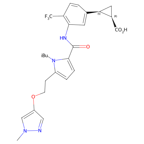 CCC(C)n1c(CCOc2cnn(C)c2)ccc1C(=O)Nc1cc([C@H]2C[C@H]2C(=O)O)ccc1C(F)(F)F